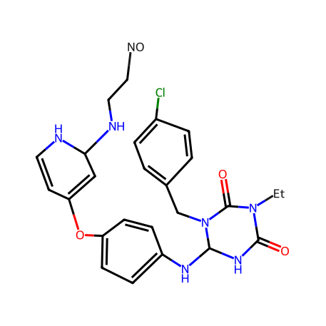 CCN1C(=O)NC(Nc2ccc(OC3=CC(NCCN=O)NC=C3)cc2)N(Cc2ccc(Cl)cc2)C1=O